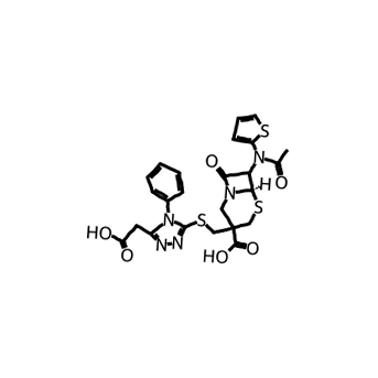 CC(=O)N(c1cccs1)C1C(=O)N2CC(CSc3nnc(CC(=O)O)n3-c3ccccc3)(C(=O)O)CS[C@H]12